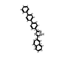 c1ccc(-c2ccc(-c3ccc(-c4n[nH]c(-c5ccc6ccccc6c5)n4)cc3)cc2)cc1